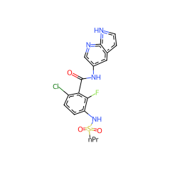 CCCS(=O)(=O)Nc1ccc(Cl)c(C(=O)Nc2cnc3[nH]ccc3c2)c1F